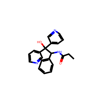 CCC(=O)NC(c1ccccc1)C(O)(c1cccnc1)c1cccnc1